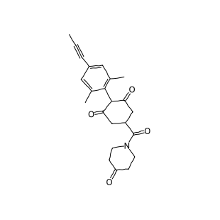 CC#Cc1cc(C)c(C2C(=O)CC(C(=O)N3CCC(=O)CC3)CC2=O)c(C)c1